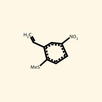 C=[C]c1cc([N+](=O)[O-])ccc1SC